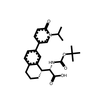 CC(C)n1cc(-c2ccc3c(c2)[C@H]([C@H](NC(=O)OC(C)(C)C)C(=O)O)CCC3)ccc1=O